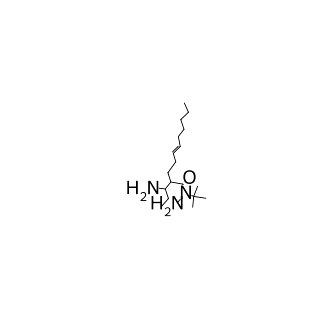 CCCCCC=CCCC(C(=O)N(N)C(C)(C)C)C(N)CC